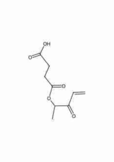 [CH2]C(OC(=O)CCC(=O)O)C(=O)C=C